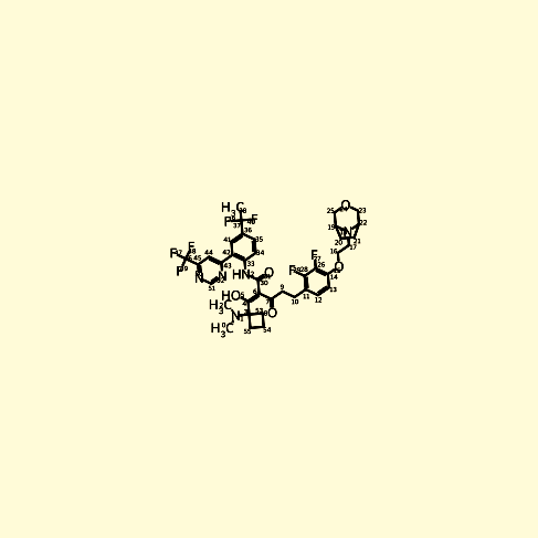 CN(C)C1(/C(O)=C(\C(=O)CCc2ccc(OCCN3C4CCC3COC4)c(F)c2F)C(=O)Nc2ccc(C(C)(F)F)cc2-c2cc(C(F)(F)F)ncn2)CCC1